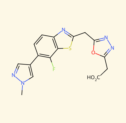 Cn1cc(-c2ccc3nc(Cc4nnc(CC(=O)O)o4)sc3c2F)cn1